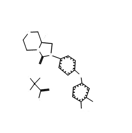 O=C(O)C(F)(F)F.O=C(O)c1ccc(Oc2ccc(N3C[C@@H]4CNCCN4C3=O)cc2)cc1Cl